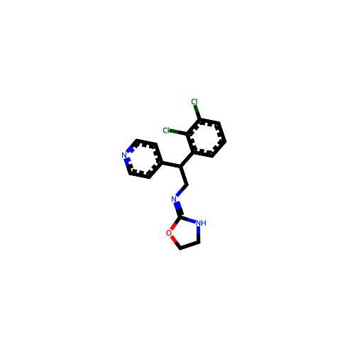 Clc1cccc(C(CN=C2NCCO2)c2ccncc2)c1Cl